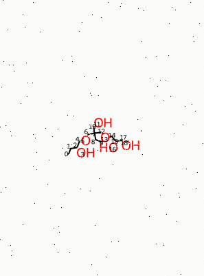 CCC(O)COCC(CC)(CO)COCC(O)CO